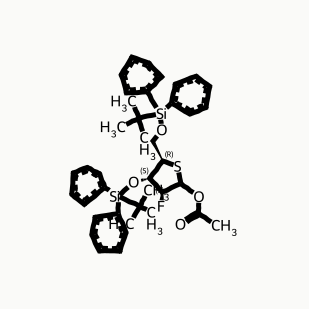 CC(=O)OC1S[C@H](CO[Si](c2ccccc2)(c2ccccc2)C(C)(C)C)[C@@H](O[Si](c2ccccc2)(c2ccccc2)C(C)(C)C)[C@@H]1F